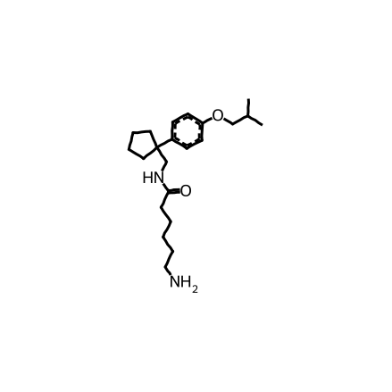 CC(C)COc1ccc(C2(CNC(=O)CCCCCN)CCCC2)cc1